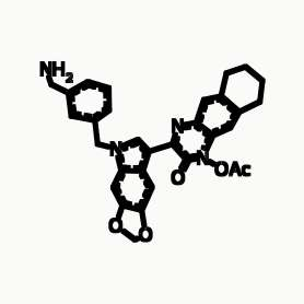 CC(=O)On1c(=O)c(-c2cn(Cc3cccc(CN)c3)c3cc4c(cc23)OCO4)nc2cc3c(cc21)CCCC3